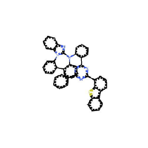 c1ccc(-c2nc(-c3ccccc3N3c4ccccc4-c4ccccc4-n4c3nc3ccccc34)nc(-c3cccc4c3sc3ccccc34)n2)cc1